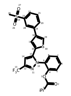 CC(C)C(=O)Oc1ccccc1-n1nc(C(F)(F)F)cc1-c1cc(-c2cccc(S(C)(=O)=O)c2)cs1